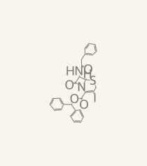 O=C(Cc1ccccc1)NC1C(=O)N2C(C(=O)OC(c3ccccc3)c3ccccc3)=C(I)CS[C@H]12